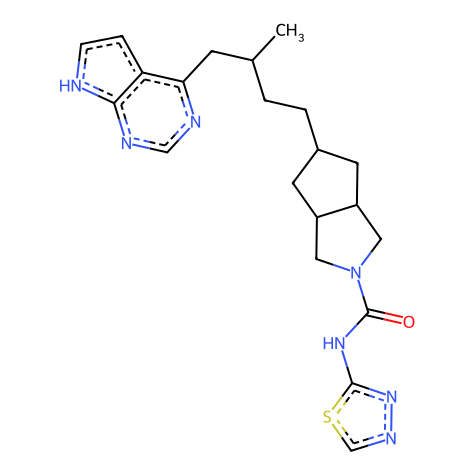 CC(CCC1CC2CN(C(=O)Nc3nncs3)CC2C1)Cc1ncnc2[nH]ccc12